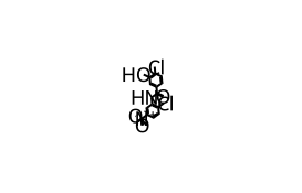 O=C(Nc1cc([N+](=O)[O-])ccc1Cl)c1ccc(Cl)c(O)c1